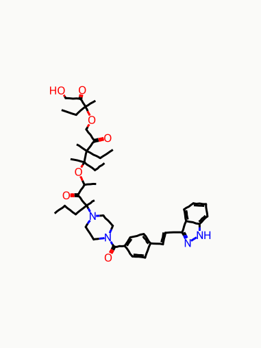 CCCC(C)(C(=O)C(C)OC(C)(CC)C(C)(CC)C(=O)COC(C)(CC)C(=O)CO)N1CCN(C(=O)c2ccc(/C=C/c3n[nH]c4ccccc34)cc2)CC1